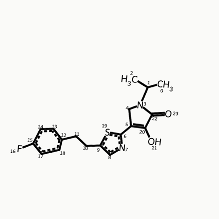 CC(C)N1CC(c2ncc(CCc3ccc(F)cc3)s2)=C(O)C1=O